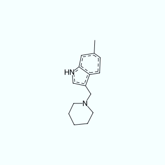 Cc1ccc2c(CN3CCCCC3)c[nH]c2c1